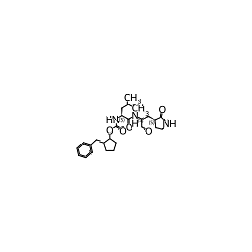 CC(C)C[C@H](NC(=O)OC1CCCC1Cc1ccccc1)C(=O)N[C@H](C=O)C[C@@H]1CCNC1=O